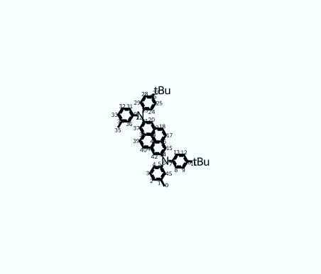 Cc1cccc(N(c2ccc(C(C)(C)C)cc2)c2cc3ccc4cc(N(c5ccc(C(C)(C)C)cc5)c5cccc(C)c5)cc5ccc(c2)c3c45)c1